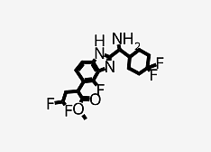 COC(=O)C(CC(F)F)c1ccc2[nH]c(C(N)C3CCC(F)(F)CC3)nc2c1F